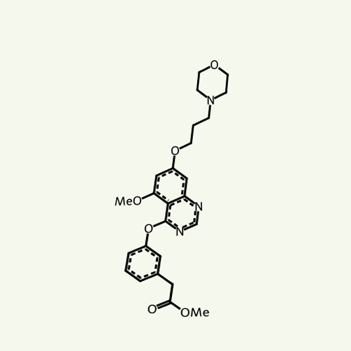 COC(=O)Cc1cccc(Oc2ncnc3cc(OCCCN4CCOCC4)cc(OC)c23)c1